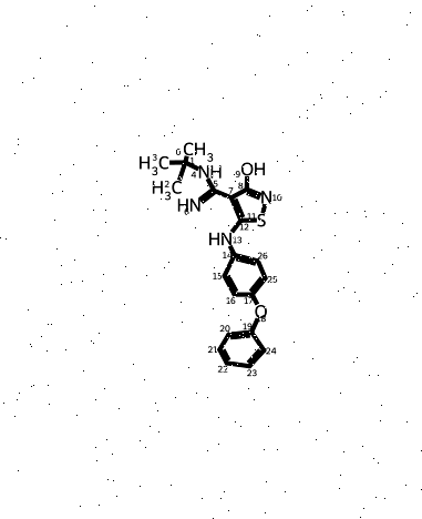 CC(C)(C)NC(=N)c1c(O)nsc1Nc1ccc(Oc2ccccc2)cc1